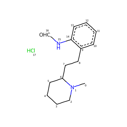 CN1CCCCC1CCc1ccccc1NC=O.Cl